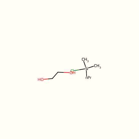 CCC[Si](C)(C)Cl.OCCO